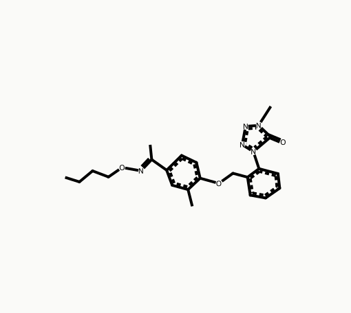 CCCCON=C(C)c1ccc(OCc2ccccc2-n2nnn(C)c2=O)c(C)c1